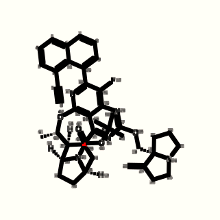 C#Cc1cccc2cccc(-c3nc4c5c(nc(OC[C@]67CCCN6CCC7=C)nc5c3F)N3C[C@H]5CC[C@@H]([C@H]3[C@H](C)O4)N5C(=O)OC(C)(C)C)c12